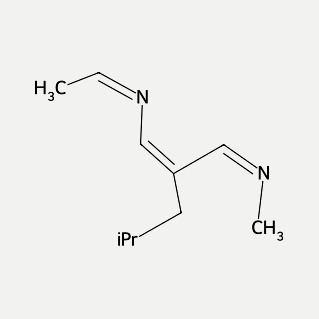 C\C=N/C=C(\C=N/C)CC(C)C